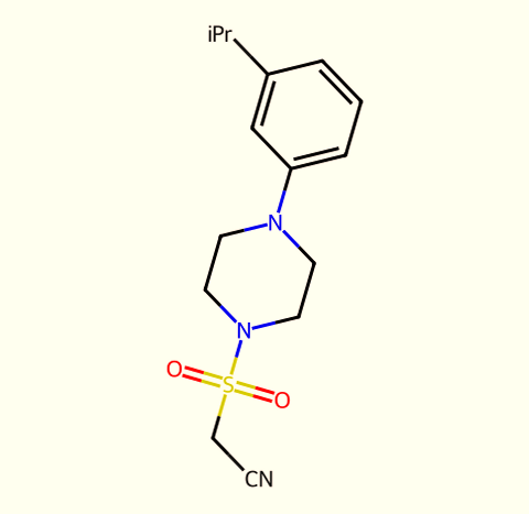 CC(C)c1cccc(N2CCN(S(=O)(=O)CC#N)CC2)c1